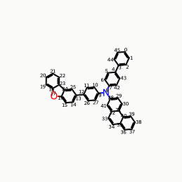 c1ccc(-c2ccc(N(c3ccc(-c4ccc5oc6ccccc6c5c4)cc3)c3ccc4c(ccc5ccccc54)c3)cc2)cc1